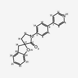 O=C1N(c2ccc(-c3ccncc3)cc2)CCC12Cc1ccccc1O2